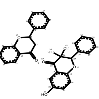 O=C1CC(c2ccccc2)Oc2ccccc21.O=C1c2cc(O)ccc2OC(c2ccccc2)C1(O)O